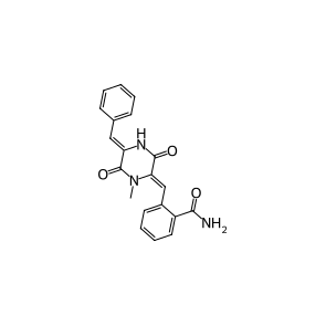 Cn1c(=O)c(=Cc2ccccc2)[nH]c(=O)c1=Cc1ccccc1C(N)=O